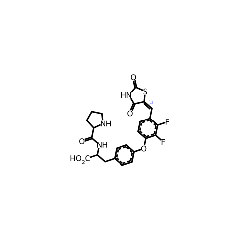 O=C1NC(=O)/C(=C\c2ccc(Oc3ccc(CC(NC(=O)C4CCCN4)C(=O)O)cc3)c(F)c2F)S1